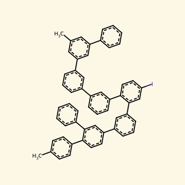 Cc1ccc(-c2ccc(-c3cccc(-c4cc(I)ccc4-c4cccc(-c5cccc(-c6cc(C)cc(-c7ccccc7)c6)c5)c4)c3)cc2-c2ccccc2)cc1